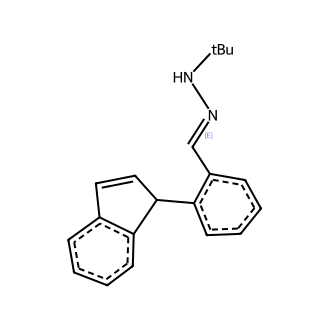 CC(C)(C)N/N=C/c1ccccc1C1C=Cc2ccccc21